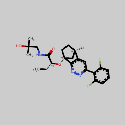 CC[C@@H](O[C@]12CC[C@H](C1)c1cc(-c3c(F)cccc3F)nnc12)C(=O)NCC(C)(C)O